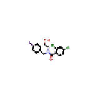 O=C(c1ccc(Br)cc1F)N(CCO)Cc1ccc(I)cc1